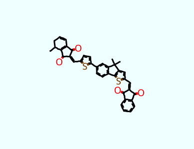 CC1CC=CC2=C1C(=O)/C(=C/c1ccc(-c3ccc4c(c3)C(C)(C)c3cc(C=C5C(=O)c6ccccc6C5=O)sc3-4)s1)C2=O